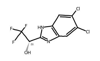 O[C@@H](c1nc2cc(Cl)c(Cl)cc2[nH]1)C(F)(F)F